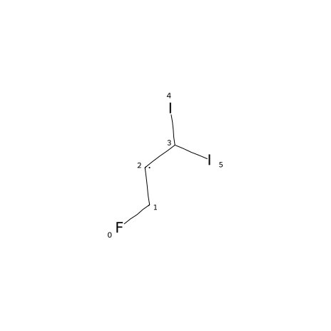 FC[CH]C(I)I